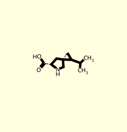 CC(C)C1C[C@@]12CN[C@H](C(=O)O)C2